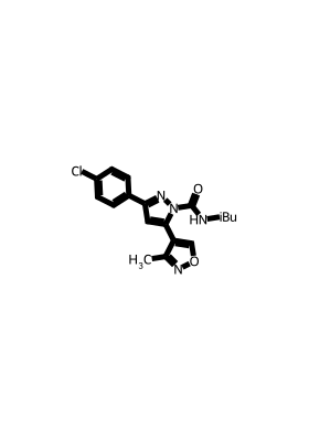 CCC(C)NC(=O)n1nc(-c2ccc(Cl)cc2)cc1-c1conc1C